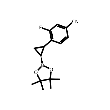 CC1(C)OB([C@H]2CC2c2ccc(C#N)cc2F)OC1(C)C